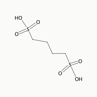 O=S(=O)(O)CCCCS(=O)(=O)O